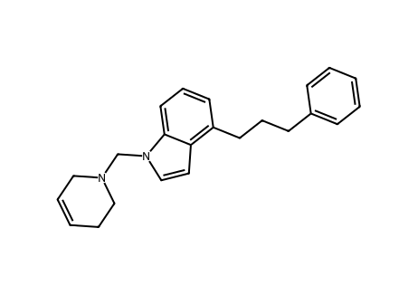 C1=CCN(Cn2ccc3c(CCCc4ccccc4)cccc32)CC1